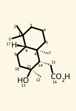 CC1(C)CCC[C@]2(C)[C@@H]1CC[C@](C)(O)[C@H]2CC(=O)O